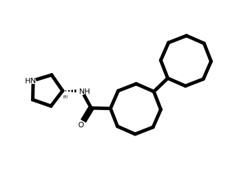 O=C(N[C@@H]1CCNC1)C1CCCCC(C2CCCCCCC2)CC1